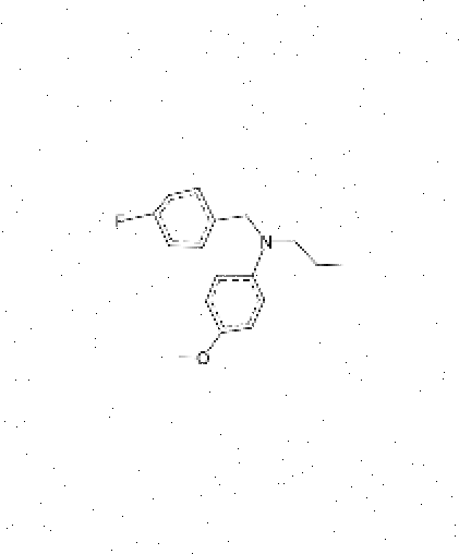 CCCN(Cc1ccc(F)cc1)c1ccc(OC)cc1